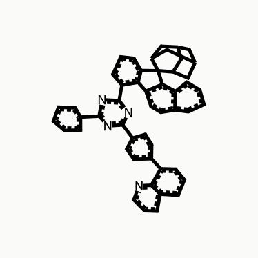 c1ccc(-c2nc(-c3ccc(-c4cccc5cccnc45)cc3)nc(-c3cccc4c3-c3ccc5ccccc5c3C43C4CC5CC(C4)CC3C5)n2)cc1